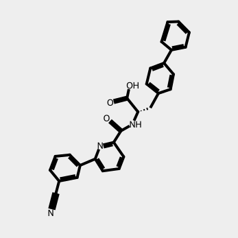 N#Cc1cccc(-c2cccc(C(=O)N[C@@H](Cc3ccc(-c4ccccc4)cc3)C(=O)O)n2)c1